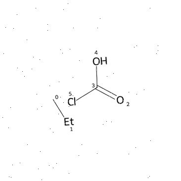 CCC.O=C(O)Cl